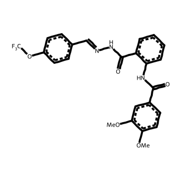 COc1ccc(C(=O)Nc2ccccc2C(=O)N/N=C/c2ccc(OC(F)(F)F)cc2)cc1OC